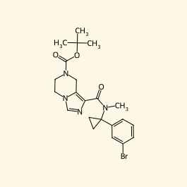 CN(C(=O)c1ncn2c1CN(C(=O)OC(C)(C)C)CC2)C1(c2cccc(Br)c2)CC1